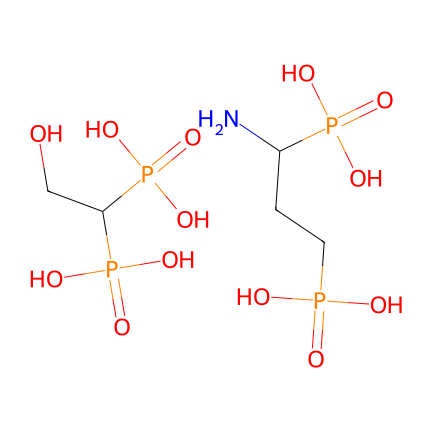 NC(CCP(=O)(O)O)P(=O)(O)O.O=P(O)(O)C(CO)P(=O)(O)O